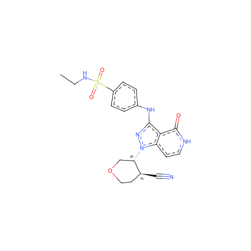 CCNS(=O)(=O)c1ccc(Nc2nn([C@H]3COCC[C@@H]3C#N)c3cc[nH]c(=O)c23)cc1